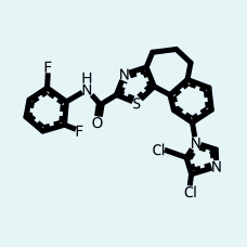 O=C(Nc1c(F)cccc1F)c1nc2c(s1)-c1cc(-n3cnc(Cl)c3Cl)ccc1CCC2